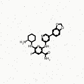 NC(=O)c1cc(F)c(NC2CCCC[C@@H]2N)nc1Nc1cncc(-c2ccc3c(c2)OCO3)c1